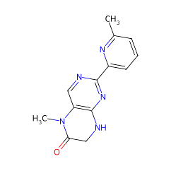 Cc1cccc(-c2ncc3c(n2)NCC(=O)N3C)n1